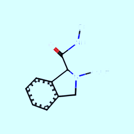 CCNC(=O)C1c2ccccc2CN1C(=O)O